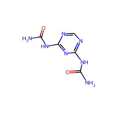 NC(=O)Nc1ncnc(NC(N)=O)n1